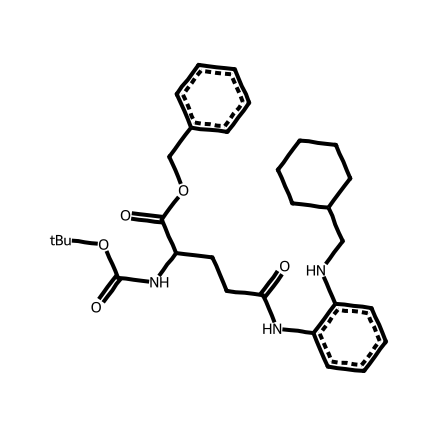 CC(C)(C)OC(=O)NC(CCC(=O)Nc1ccccc1NCC1CCCCC1)C(=O)OCc1ccccc1